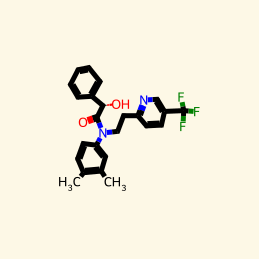 Cc1ccc(N(CCc2ccc(C(F)(F)F)cn2)C(=O)[C@@H](O)c2ccccc2)cc1C